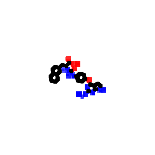 Nc1nc(Oc2ccc(NC(=O)NC(Cc3ccc4ccccc4c3)C(=O)O)cc2)c2cc[nH]c2n1